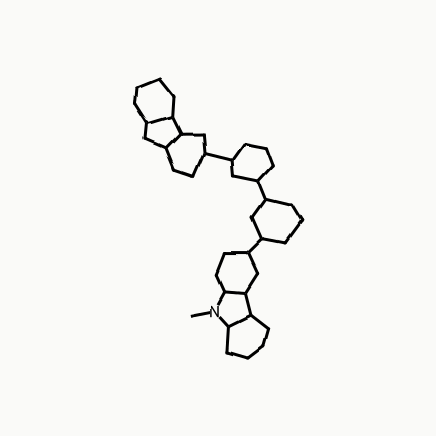 CN1C2CCCCC2C2CC(C3CCCC(C4CCCC(C5CCC6CC7CCCCC7C6C5)C4)C3)CCC21